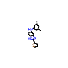 Cc1cc(C)cc(Nc2ccc3[nH]c(-c4cccs4)nc3c2)c1